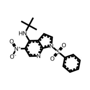 CC(C)(C)Nc1c([N+](=O)[O-])cnc2c1ccn2S(=O)(=O)c1ccccc1